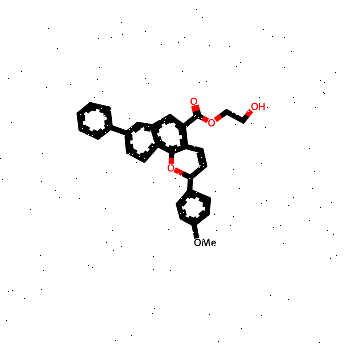 COc1ccc(C2C=Cc3c(C(=O)OCCO)cc4cc(-c5ccccc5)ccc4c3O2)cc1